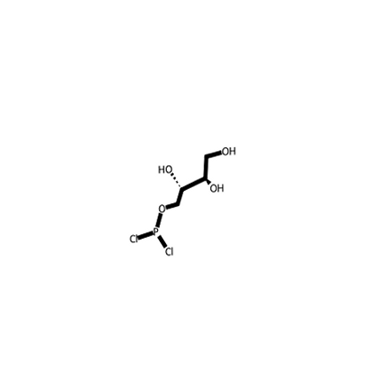 OC[C@@H](O)[C@@H](O)COP(Cl)Cl